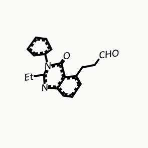 CCc1nc2cccc(CCC=O)c2c(=O)n1-c1ccccc1